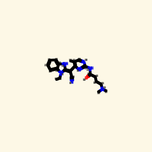 CCN1/C(=C(\C#N)c2nc(NC(=O)CCCN(C)C)ncc2C)Nc2ccccc21